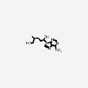 CC(CO)CCC(O)n1cnc2c(N)ncnc21